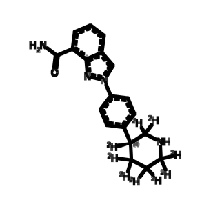 [2H]C1([2H])NC([2H])([2H])[C@@]([2H])(c2ccc(-n3cc4cccc(C(N)=O)c4n3)cc2)C([2H])([2H])C1([2H])[2H]